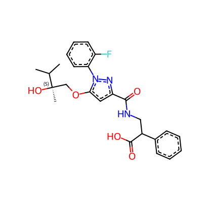 CC(C)[C@](C)(O)COc1cc(C(=O)NCC(C(=O)O)c2ccccc2)nn1-c1ccccc1F